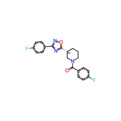 O=C(c1ccc(F)cc1)N1CCC[C@@H](c2nc(-c3ccc(F)cc3)no2)C1